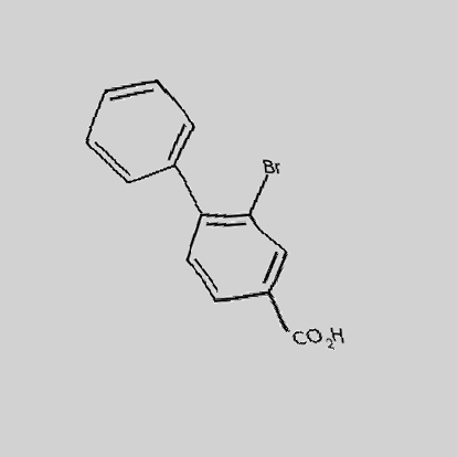 O=C(O)c1ccc(-c2ccccc2)c(Br)c1